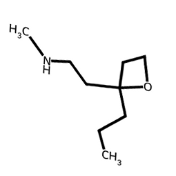 CCCC1(CCNC)CCO1